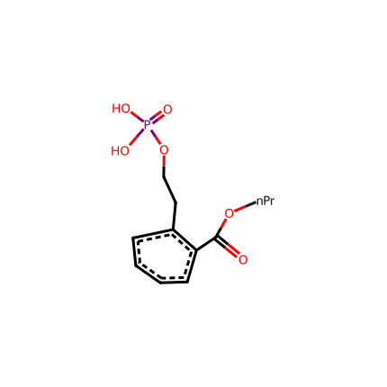 CCCOC(=O)c1ccccc1CCOP(=O)(O)O